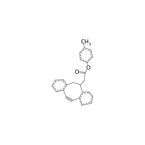 Cc1ccc(OC(=O)CC2Cc3ccccc3C#Cc3ccccc32)cc1